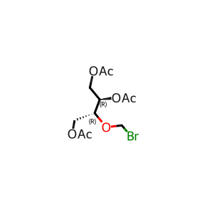 CC(=O)OC[C@@H](OCBr)[C@@H](COC(C)=O)OC(C)=O